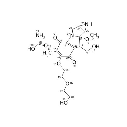 COC12C(CO)C3=C(C(=O)C(C)=C(OCCOCCO)C3=O)N1CC1NC12.NC(=O)O